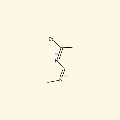 CC/C(C)=N/C=N\C